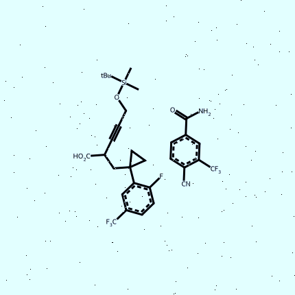 CC(C)(C)[Si](C)(C)OCC#CC(CC1(c2cc(C(F)(F)F)ccc2F)CC1)C(=O)O.N#Cc1ccc(C(N)=O)cc1C(F)(F)F